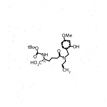 C=CCN(Cc1ccc(OC)cc1O)C(=O)CCC[C@H](NC(=O)OC(C)(C)C)C(=O)O